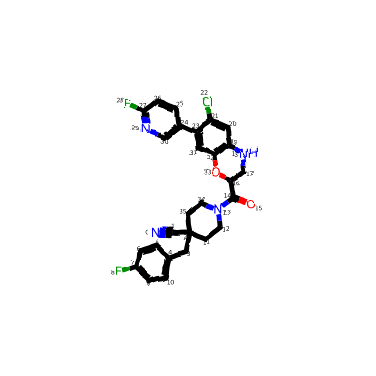 N#CC1(Cc2ccc(F)cc2)CCN(C(=O)C2CNc3cc(Cl)c(-c4ccc(F)nc4)cc3O2)CC1